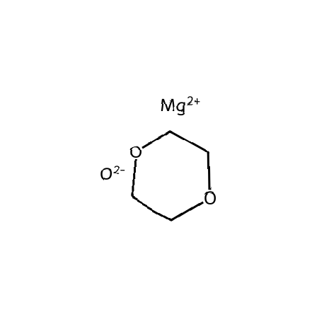 C1COCCO1.[Mg+2].[O-2]